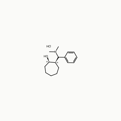 CN(C)C(c1ccccc1)[C@H]1CCCCC[C@H]1O.Cl